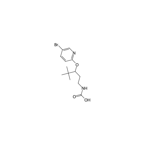 CC(C)(C)C(CCNC(=O)O)Oc1ccc(Br)cn1